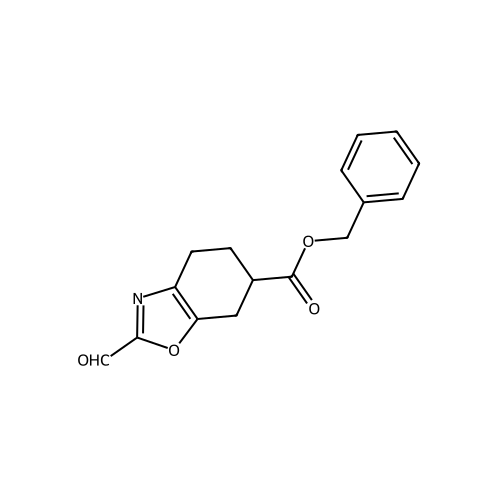 O=Cc1nc2c(o1)CC(C(=O)OCc1ccccc1)CC2